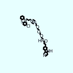 O=C(C=Cc1ccc2c(c1)[nH]c1ccncc12)NCCOCCOCCOCCN1CCN(CCCN2c3ccccc3Sc3ccc(Cl)cc32)CC1